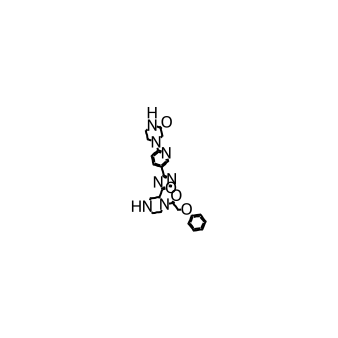 O=C1CN(c2ccc(-c3noc(C4CNCCN4C(=O)COc4ccccc4)n3)cn2)CCN1